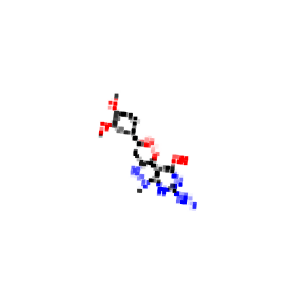 COc1ccc(C(=O)Cc2nn(C)c3nc(N)nc(O)c3c2=O)cc1OC